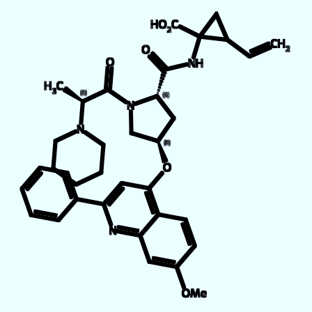 C=CC1CC1(NC(=O)[C@@H]1C[C@@H](Oc2cc(-c3ccccc3)nc3cc(OC)ccc23)CN1C(=O)[C@H](C)N1CCCCC1)C(=O)O